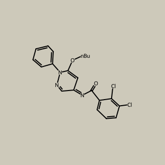 CCCCOc1c/c(=N\C(=O)c2cccc(Cl)c2Cl)cnn1-c1ccccc1